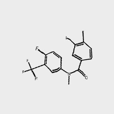 Cc1ccc(C(=O)N(C)c2ccc(F)c(C(F)(F)F)c2)cc1I